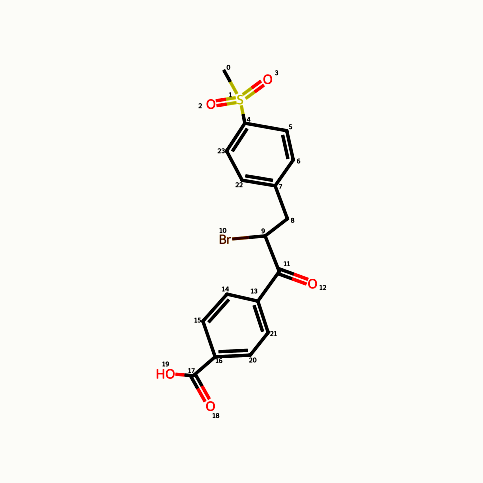 CS(=O)(=O)c1ccc(CC(Br)C(=O)c2ccc(C(=O)O)cc2)cc1